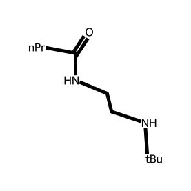 CCCC(=O)NCCNC(C)(C)C